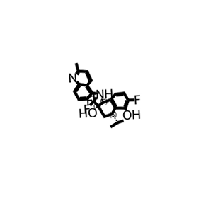 Cc1ccc2c(N[C@H]3c4ccc(F)c(O)c4[C@H](C(C)C)C[C@]3(O)C(F)(F)F)cccc2n1